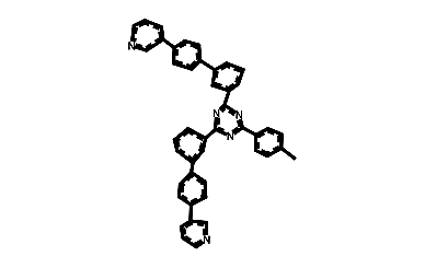 Cc1ccc(-c2nc(-c3cccc(-c4ccc(-c5cccnc5)cc4)c3)nc(-c3cccc(-c4ccc(-c5cccnc5)cc4)c3)n2)cc1